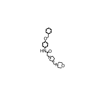 O=C(CN1CC[C@@H](CN2CCOCC2)C1)Nc1ccc(OCc2ccccc2)cc1